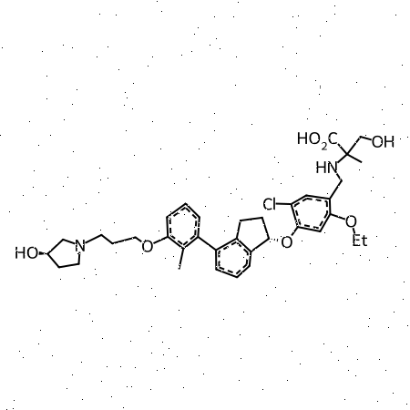 CCOc1cc(O[C@H]2CCc3c(-c4cccc(OCCCN5CC[C@@H](O)C5)c4C)cccc32)c(Cl)cc1CNC(C)(CO)C(=O)O